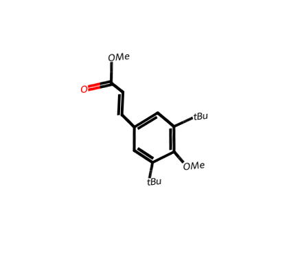 COC(=O)C=Cc1cc(C(C)(C)C)c(OC)c(C(C)(C)C)c1